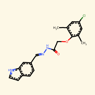 Cc1cc(Cl)cc(C)c1OCC(=O)NN=Cc1ccc2cc[nH]c2c1